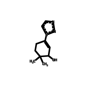 CC1(C)CCC(n2ccnn2)=CC1O